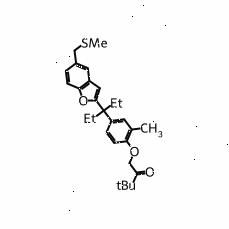 CCC(CC)(c1ccc(OCC(=O)C(C)(C)C)c(C)c1)c1cc2cc(CSC)ccc2o1